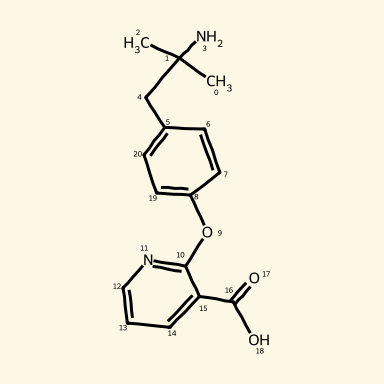 CC(C)(N)Cc1ccc(Oc2ncccc2C(=O)O)cc1